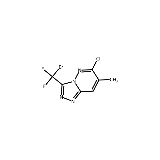 Cc1cc2nnc(C(F)(F)Br)n2nc1Cl